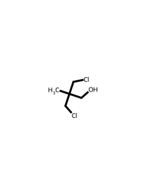 CC(CO)(CCl)CCl